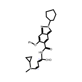 CC(C)Oc1cc2nn(C3CCCCC3)cc2cc1C(=O)N/C(C=O)=C/C=C\N(C)C1CC1